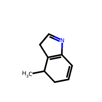 CC1CC=CC2=C1CC=N2